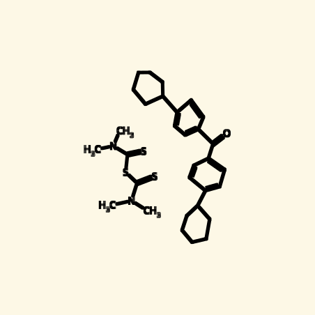 CN(C)C(=S)SC(=S)N(C)C.O=C(c1ccc(C2CCCCC2)cc1)c1ccc(C2CCCCC2)cc1